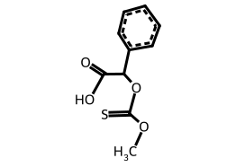 COC(=S)OC(C(=O)O)c1ccccc1